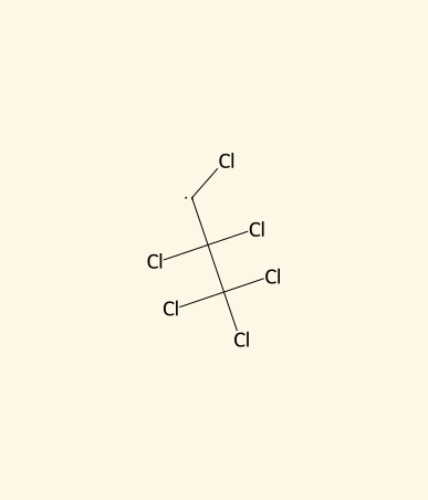 Cl[CH]C(Cl)(Cl)C(Cl)(Cl)Cl